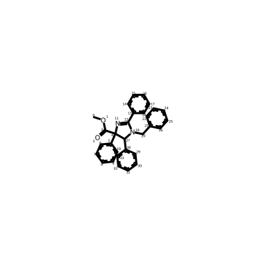 COC(=O)C1(c2ccccc2)N=C(c2ccccc2)N(Cc2ccccc2)C1c1ccccc1